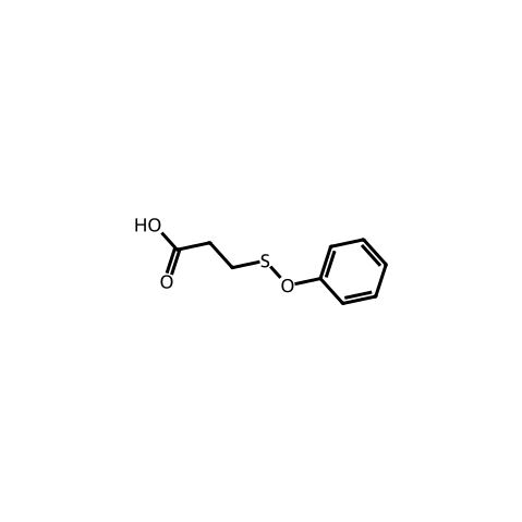 O=C(O)CCSOc1ccccc1